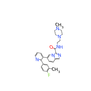 Cc1cc(-c2ncccc2-c2ccc3cnc(C(=O)NCCN4CCN(C)CC4)n3c2)ccc1F